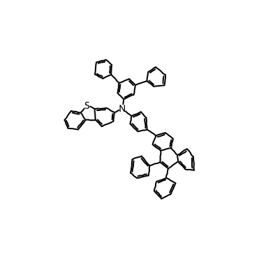 c1ccc(-c2cc(-c3ccccc3)cc(N(c3ccc(-c4ccc5c(c4)c(-c4ccccc4)c(-c4ccccc4)c4ccccc45)cc3)c3ccc4c(c3)sc3ccccc34)c2)cc1